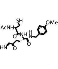 COc1ccc(CNC(=O)[C@H](CCC(=O)C=N)NC(=O)[C@H](CS)NC(C)=O)cc1